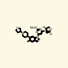 COc1nc(N2C[C@@H]3C[C@H]2CO3)cc(-n2ncc3cc(C)c(C4CCN(C5CCOC5)CC4)cc32)n1